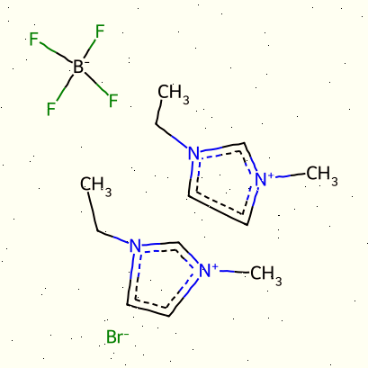 CCn1cc[n+](C)c1.CCn1cc[n+](C)c1.F[B-](F)(F)F.[Br-]